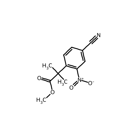 COC(=O)C(C)(C)c1ccc(C#N)cc1[N+](=O)[O-]